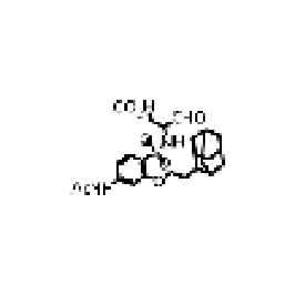 CC(=O)Nc1ccc(S(=O)(=O)NC(C=O)CC(=O)O)c(OCCC2C3CC4CC(C3)CC2C4)c1